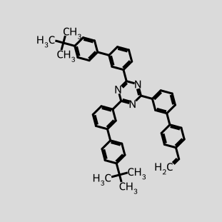 C=Cc1ccc(-c2cccc(-c3nc(-c4cccc(-c5ccc(C(C)(C)C)cc5)c4)nc(-c4cccc(-c5ccc(C(C)(C)C)cc5)c4)n3)c2)cc1